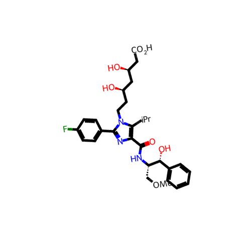 COC[C@H](NC(=O)c1nc(-c2ccc(F)cc2)n(CC[C@@H](O)C[C@@H](O)CC(=O)O)c1C(C)C)[C@H](O)c1ccccc1